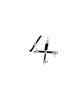 O=P(O)(O)O.[CH3][Zn][CH3]